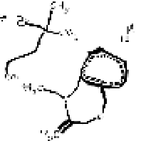 C=C1Oc2ccccc2N1C.CCC[N+](C)(C)C.I.I.I